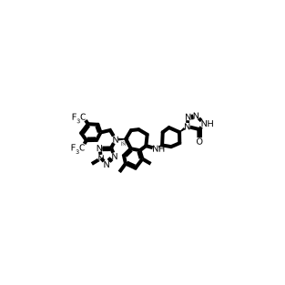 Cc1cc(C)c2c(c1)[C@@H](N(Cc1cc(C(F)(F)F)cc(C(F)(F)F)c1)c1nnn(C)n1)CCCC2N[C@H]1CC[C@H](n2nn[nH]c2=O)CC1